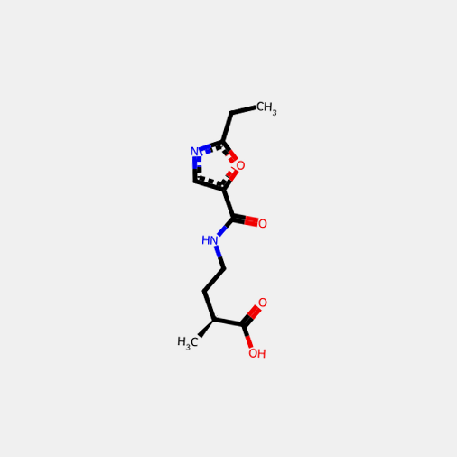 CCc1ncc(C(=O)NCC[C@H](C)C(=O)O)o1